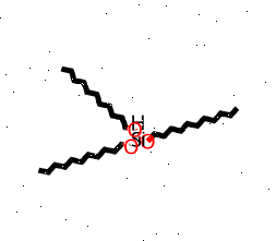 CCCCCCCCCCCO[SiH](OCCCCCCCCCCC)OCCCCCCCCCCC